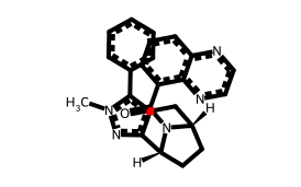 Cn1nc2c(c1-c1ccccc1)C[C@@H]1CC[C@H]2N1C(=O)c1cccc2nccnc12